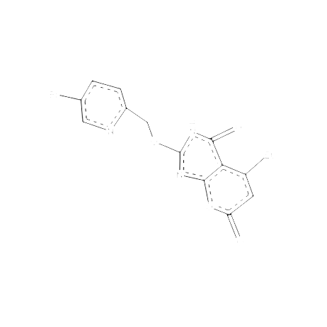 CCc1cc(=O)oc2nc(OCc3ccc(Br)cn3)[nH]c(=O)c12